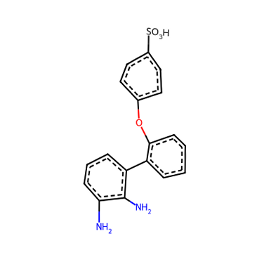 Nc1cccc(-c2ccccc2Oc2ccc(S(=O)(=O)O)cc2)c1N